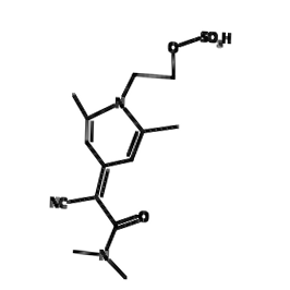 CC1=CC(=C(C#N)C(=O)N(C)C)C=C(C)N1CCOS(=O)(=O)O